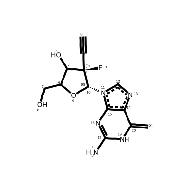 C#C[C@@]1(F)C(O)C(CO)O[C@H]1n1cnc2c1N=C(N)NC2=C